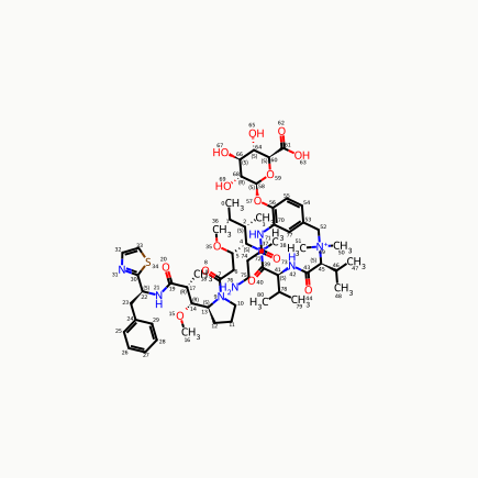 CC[C@H](C)[C@@H](C(CC(=O)N1CCC[C@H]1[C@H](OC)[C@@H](C)C(=O)N[C@@H](Cc1ccccc1)c1nccs1)OC)N(C)C(=O)[C@@H](NC(=O)[C@H](C(C)C)[N+](C)(C)Cc1ccc(O[C@@H]2O[C@H](C(=O)O)[C@@H](O)[C@H](O)[C@H]2O)c(NC(=O)CCN)c1)C(C)C